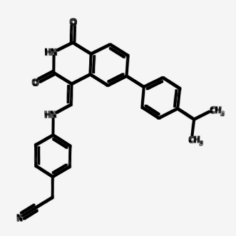 CC(C)c1ccc(-c2ccc3c(c2)/C(=C/Nc2ccc(CC#N)cc2)C(=O)NC3=O)cc1